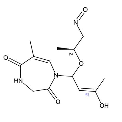 CC1=CN(C(/C=C(\C)O)O[C@@H](C)CN=O)C(=O)CNC1=O